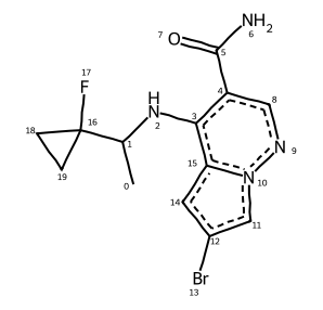 CC(Nc1c(C(N)=O)cnn2cc(Br)cc12)C1(F)CC1